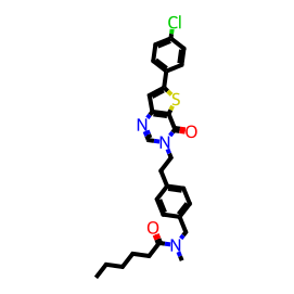 CCCCCC(=O)N(C)Cc1ccc(CCn2cnc3cc(-c4ccc(Cl)cc4)sc3c2=O)cc1